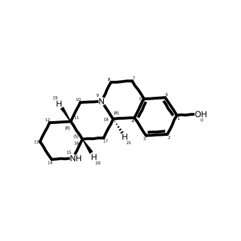 Oc1ccc2c(c1)CCN1C[C@H]3CCCN[C@H]3C[C@H]21